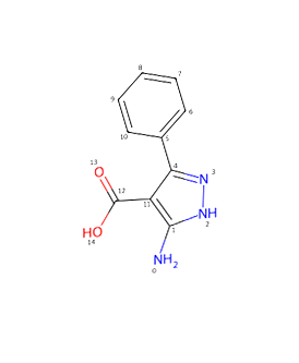 Nc1[nH]nc(-c2ccccc2)c1C(=O)O